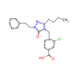 CCCCc1nn(CCc2ccccc2)c(=O)n1Cc1ccc(C(=O)O)cc1Cl